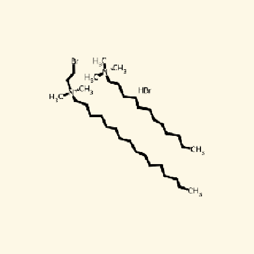 Br.CCCCCCCCCCCCCCCC[N+](C)(C)CCBr.CCCCCCCCCCCC[N+](C)(C)C